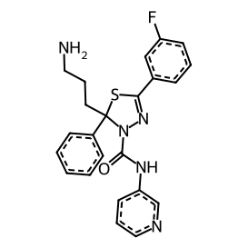 NCCCC1(c2ccccc2)SC(c2cccc(F)c2)=NN1C(=O)Nc1cccnc1